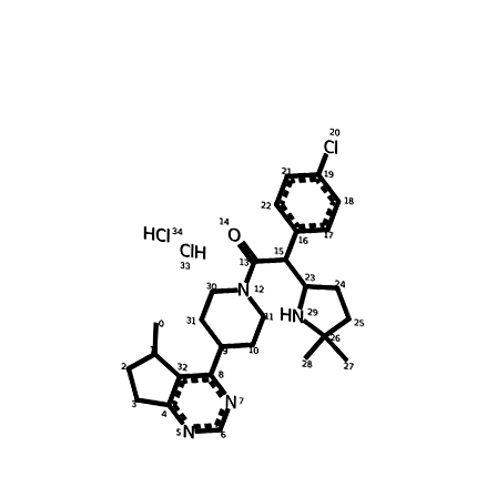 CC1CCc2ncnc(C3CCN(C(=O)C(c4ccc(Cl)cc4)C4CCC(C)(C)N4)CC3)c21.Cl.Cl